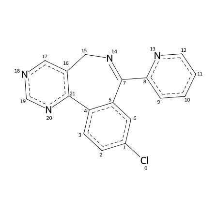 Clc1ccc2c(c1)C(c1ccccn1)=NCc1cncnc1-2